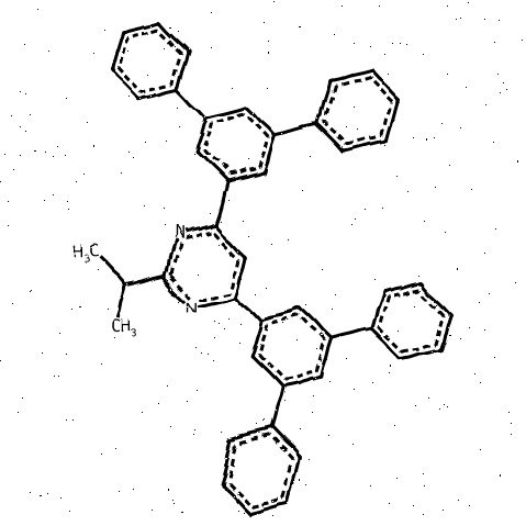 CC(C)c1nc(-c2cc(-c3ccccc3)cc(-c3ccccc3)c2)cc(-c2cc(-c3ccccc3)cc(-c3ccccc3)c2)n1